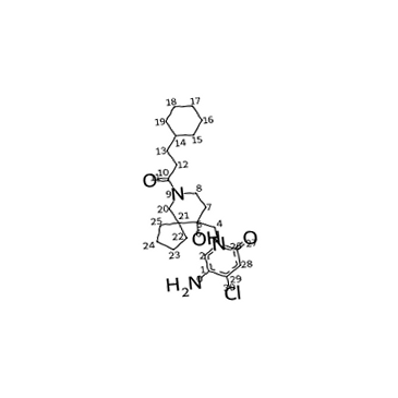 Nc1cn(CC2(O)CCN(C(=O)CCC3CCCCC3)CC23CCCC3)c(=O)cc1Cl